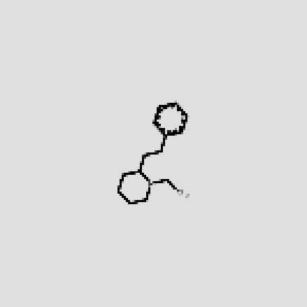 CCN1CCCCC1C[CH]c1ccccc1